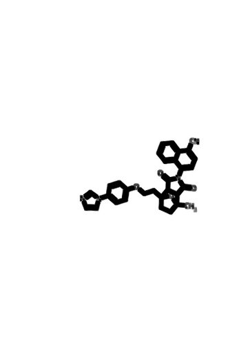 CC12CCC(CCOc3ccc(-n4ccnc4)cc3)(O1)C1C(=O)N(c3ccc(C#N)c4ccccc34)C(=O)C12